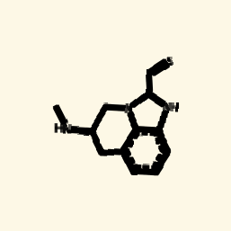 CNC1Cc2cccc3c2N(C1)C(C=S)N3